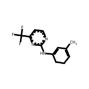 CC1=CCCC(Nc2nccc(C(F)(F)F)n2)=C1